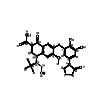 COc1cc2c(cc1Cc1cc(N3CCCC3=O)cc(Cl)c1F)c(=O)c(C(=O)O)cn2[C@H](CO)C(C)(C)C